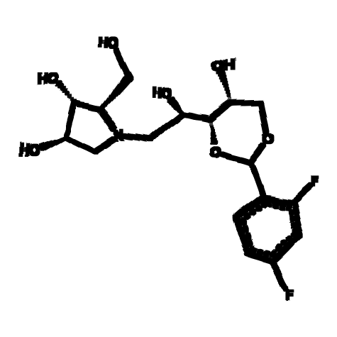 OC[C@@H]1[C@@H](O)[C@H](O)CN1C[C@@H](O)[C@H]1OC(c2ccc(F)cc2F)OC[C@H]1O